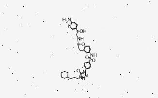 Nc1ccc([C@H](O)CNC[C@H]2CCc3cc(NS(=O)(=O)c4ccc(-n5nnn(CCCC6CCCCC6)c5=O)cc4)ccc3O2)cn1